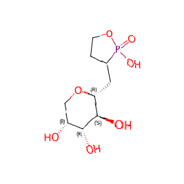 O=P1(O)OCCC1C[C@H]1OC[C@@H](O)[C@@H](O)[C@@H]1O